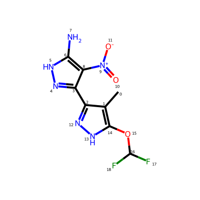 Cc1c(-c2n[nH]c(N)c2[N+](=O)[O-])n[nH]c1OC(F)F